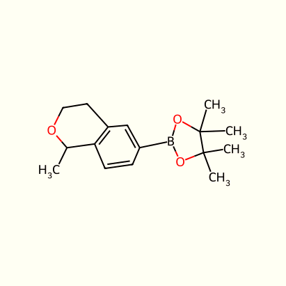 CC1OCCc2cc(B3OC(C)(C)C(C)(C)O3)ccc21